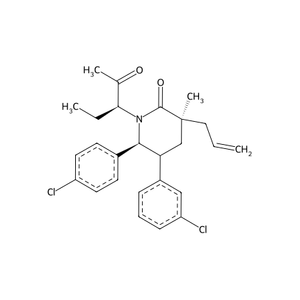 C=CC[C@@]1(C)CC(c2cccc(Cl)c2)[C@@H](c2ccc(Cl)cc2)N([C@@H](CC)C(C)=O)C1=O